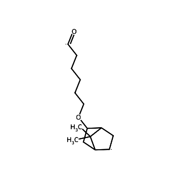 CC1(C)C2[CH]CC1C(OCCCCC[C]=O)C2